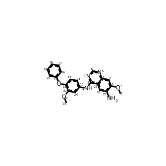 COc1cc2ncnc(Nc3ccc(Oc4ccccc4)c(OC)c3)c2cc1N